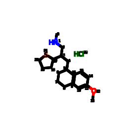 CNCC(CC1CCCc2cc(OC)ccc21)C1CCCS1.Cl